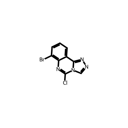 Clc1nc2c(Br)cccc2c2nncn12